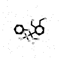 CCOC(Oc1ccccc1)(c1cccc(CC(C)C)c1CC(C)C)[N+](C)(C)CC.[Cl-]